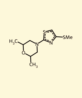 CSc1csc(N2CC(C)OC(C)C2)n1